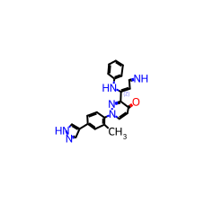 Cc1cc(-c2cn[nH]c2)ccc1-n1ccc(=O)c(/C(=C/C=N)Nc2ccccc2)n1